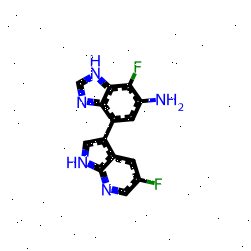 Nc1cc(-c2c[nH]c3ncc(F)cc23)c2nc[nH]c2c1F